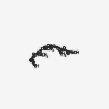 C#CCOc1cccc(CCC(=O)OCC(COCCOc2ccc(C(C)(C)c3ccc(OCCOCC(COC(=O)CCc4cccc(OCC#C)c4)OC(=O)C=C)cc3)cc2)OC(=O)C=C)c1